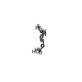 O=C(O)NCc1ccc(CN2CCC3(CCN(c4ncnc5sc(CC(F)(F)F)cc45)C3)C2)cc1